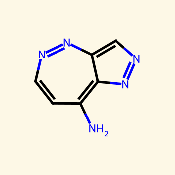 Nc1ccnnc2cnnc1-2